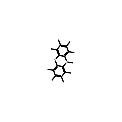 CB1c2c(C)c(C)c(C)c(C)c2Sc2c(C)c(C)c(C)c(C)c21